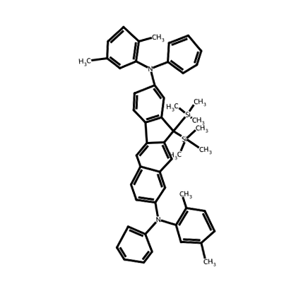 Cc1ccc(C)c(N(c2ccccc2)c2ccc3c(c2)C([Si](C)(C)C)([Si](C)(C)C)c2cc4cc(N(c5ccccc5)c5cc(C)ccc5C)ccc4cc2-3)c1